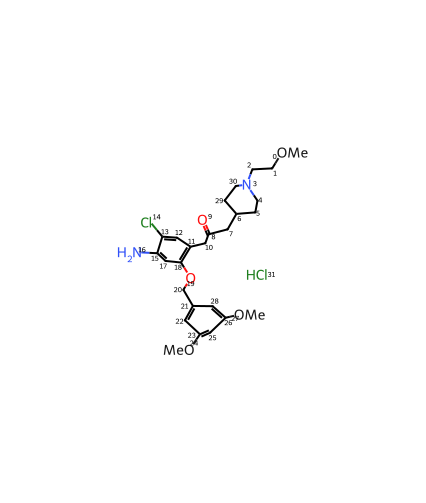 COCCN1CCC(CC(=O)Cc2cc(Cl)c(N)cc2OCc2cc(OC)cc(OC)c2)CC1.Cl